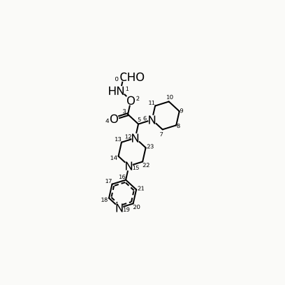 O=CNOC(=O)C(N1CCCCC1)N1CCN(c2ccncc2)CC1